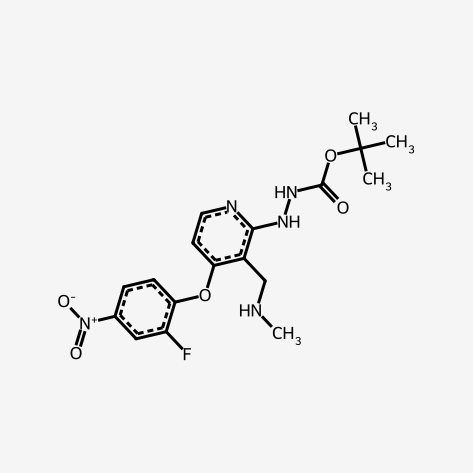 CNCc1c(Oc2ccc([N+](=O)[O-])cc2F)ccnc1NNC(=O)OC(C)(C)C